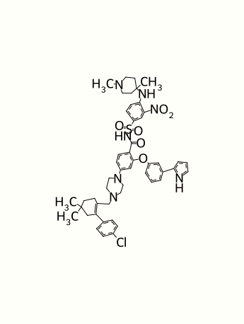 CN1CCC(C)(Nc2ccc(S(=O)(=O)NC(=O)c3ccc(N4CCN(CC5=C(c6ccc(Cl)cc6)CC(C)(C)CC5)CC4)cc3Oc3cccc(-c4ccc[nH]4)c3)cc2[N+](=O)[O-])CC1